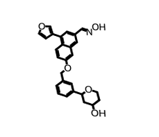 ON=Cc1cc(-c2ccoc2)c2ccc(OCc3cccc(C4CC(O)CCO4)c3)cc2c1